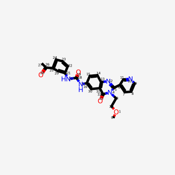 COCCn1c(-c2cccnc2)nc2ccc(NC(=O)Nc3cccc(C(C)=O)c3)cc2c1=O